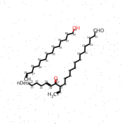 C=CC(CCCCCCCCCCCCCC=O)C(=O)C=CCCCCCCCCCCCCC.C=CCCCCCCCCCCCCCO